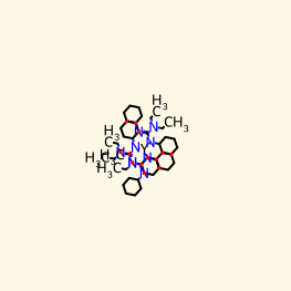 CCN(CC)C(=NC1CCCCC1)[N](C1CCCCC1)[Y]([N](C(=NC1CCCCC1)N(CC)CC)C1CCCCC1)[N](C(=NC1CCCCC1)N(CC)CC)C1CCCCC1